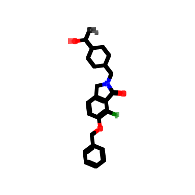 CC(O)C1CCC(CN2Cc3ccc(OCc4ccccc4)c(F)c3C2=O)CC1